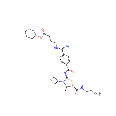 CC1C(C(=O)NCCC(=O)O)SC(=NC(=O)c2ccc(C(=N)NCCCC(=O)OC3CCCCC3)cc2)N1C1CCC1